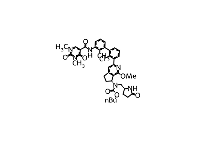 CCCCOC(=O)N(C[C@@H]1CCC(=O)N1)[C@@H]1CCc2cc(-c3cccc(-c4cccc(NC(=O)c5cn(C)c(=O)n(C)c5=O)c4C)c3Cl)nc(OC)c21